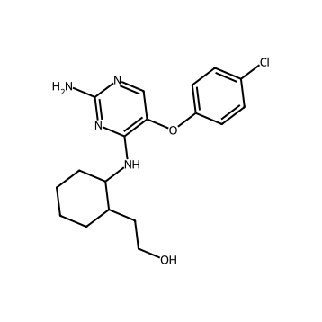 Nc1ncc(Oc2ccc(Cl)cc2)c(NC2CCCCC2CCO)n1